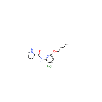 CCCCCOc1cccc(NC(=O)C2CCCN2)n1.Cl